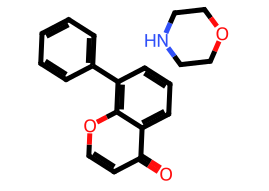 C1COCCN1.O=c1ccoc2c(-c3ccccc3)cccc12